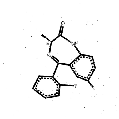 C[C@@H]1N=C(c2ccccc2F)c2cc(I)ccc2NC1=O